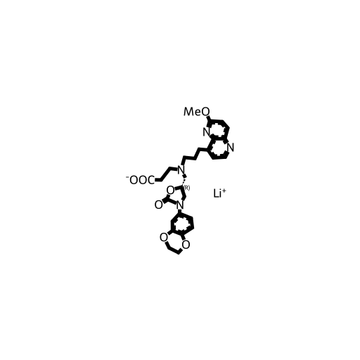 COc1ccc2nccc(CCCN(CCC(=O)[O-])C[C@@H]3CN(c4ccc5c(c4)OCCO5)C(=O)O3)c2n1.[Li+]